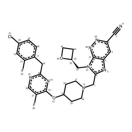 N#Cc1cc2nc(CN3CCC(Oc4nc(Cc5ccc(Cl)cc5F)ncc4F)CC3)n(C[C@@H]3CCO3)c2nn1